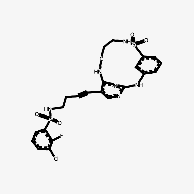 O=S1(=O)NCCCNc2nc(ncc2C#CCCNS(=O)(=O)c2cccc(Cl)c2F)Nc2cccc1c2